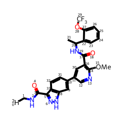 [2H]CNC(=O)c1n[nH]c2cc(-c3cnc(OC)c(C(=O)NC(C)c4ccccc4OC(F)(F)F)c3)ccc12